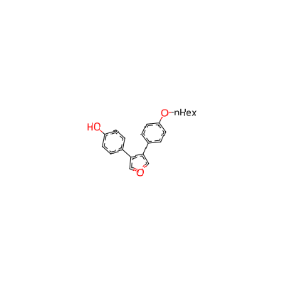 CCCCCCOc1ccc(-c2cocc2-c2ccc(O)cc2)cc1